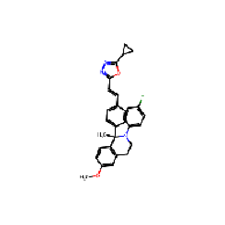 COc1ccc2c(c1)CCN(c1ccc(F)cc1)C2(C)c1ccc(C=Cc2nnc(C3CC3)o2)cc1